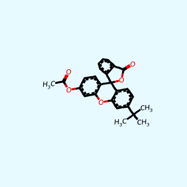 CC(=O)Oc1ccc2c(c1)Oc1cc(C(C)(C)C)ccc1C21OC(=O)c2ccccc21